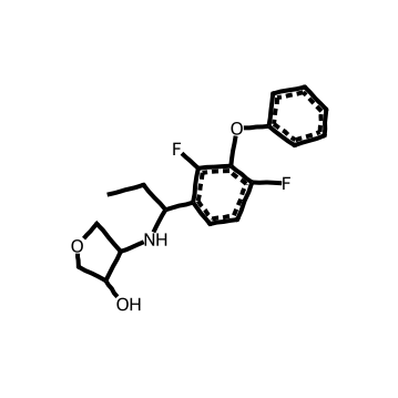 CCC(NC1COCC1O)c1ccc(F)c(Oc2ccccc2)c1F